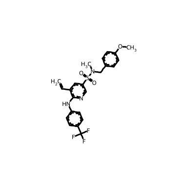 C=Cc1cc(S(=O)(=O)N(C)Cc2ccc(OC)cc2)cnc1Nc1ccc(C(F)(F)F)cc1